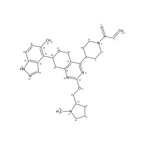 C=CC(=O)N1CCC(c2nc(OCC3CCCN3C)nc3c2COC(c2c(C)ccc4[nH]ncc24)C3)CC1